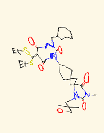 CCSC(SCC)=C1C(=O)N(CC2CCCC2)C(=O)N(C2CCC3(CC2)CC2(C3)C(=O)N(C)C(=O)N2CC2(C)COC2)C1=O